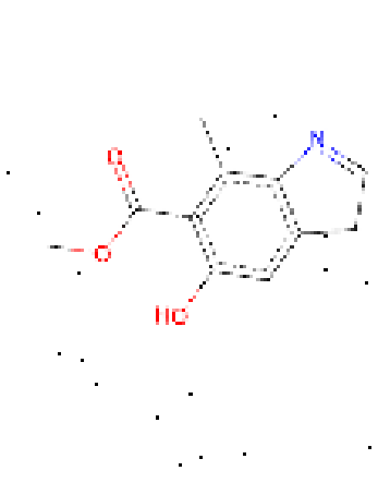 COC(=O)c1c(O)cc2c(c1C)N=CC2